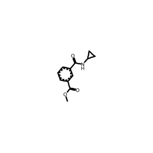 COC(=O)c1cccc(C(=O)NC2CC2)c1